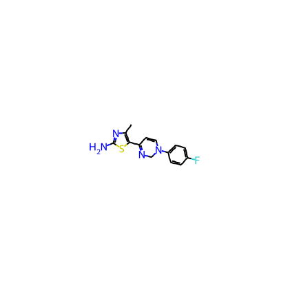 Cc1nc(N)sc1C1=NCN(c2ccc(F)cc2)C=C1